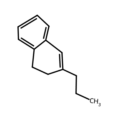 CCCC1=Cc2ccccc2CC1